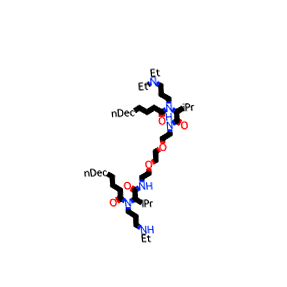 CCCCCCCCCCCCCC(=O)N(CCCNCC)C(C(=O)NCCOCCOCCNC(=O)C(C(C)C)N(CCCN(CC)CC)C(=O)CCCCCCCCCCCCC)C(C)C